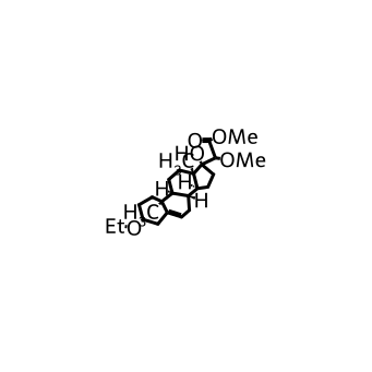 CCO[C@H]1CC[C@@]2(C)C(=CC[C@@H]3[C@@H]2CC[C@@]2(C)[C@H]3CC[C@@]2(O)C(OC)C(=O)OC)C1